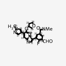 CNC(=O)c1cc(C=O)c(F)c(-c2cnc3cc(-c4cnn(C)c4)c(OC4CCOC4)nn23)c1